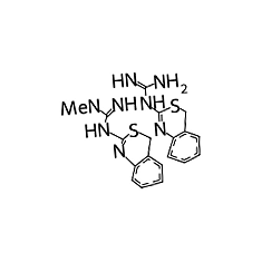 CNC(=N)NC1=Nc2ccccc2CS1.N=C(N)NC1=Nc2ccccc2CS1